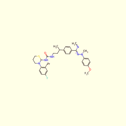 C=N/C(=N\N(C)c1ccc(OC(F)(F)F)cc1)c1ccc(C(C)CCNC(=O)NC2SCCCN2c2ccc(F)cc2C(C)C)cc1